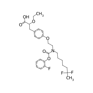 CCOC(Cc1ccc(OCCN(CCCCCC(C)(F)F)C(=O)Oc2ccccc2F)cc1)C(=O)O